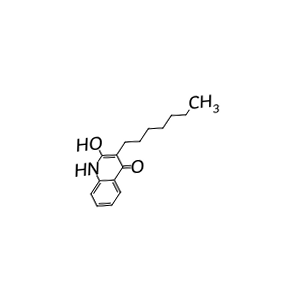 CCCCCCCc1c(O)[nH]c2ccccc2c1=O